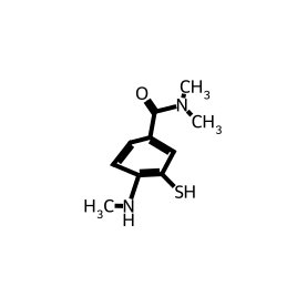 CNc1ccc(C(=O)N(C)C)cc1S